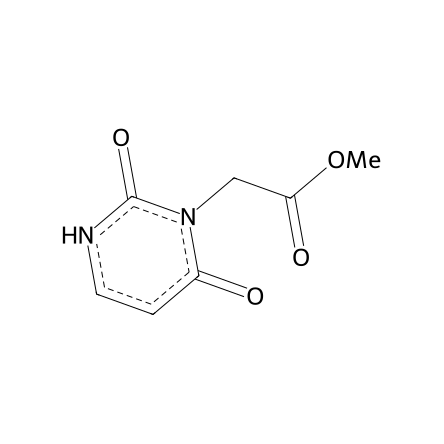 COC(=O)Cn1c(=O)cc[nH]c1=O